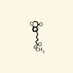 COC(=O)CCCCc1ccc2c(c1)C(=O)CCO2